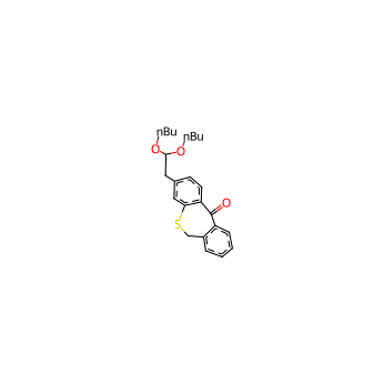 CCCCOC(Cc1ccc2c(c1)SCc1ccccc1C2=O)OCCCC